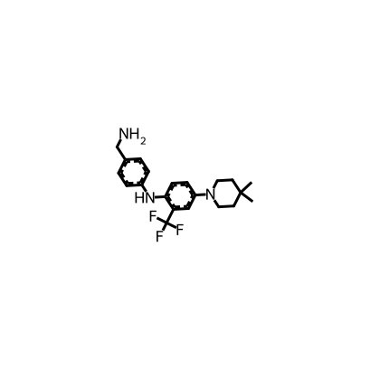 CC1(C)CCN(c2ccc(Nc3ccc(CN)cc3)c(C(F)(F)F)c2)CC1